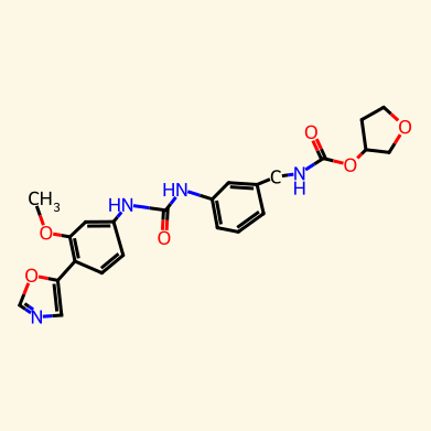 COc1cc(NC(=O)Nc2cccc(CNC(=O)OC3CCOC3)c2)ccc1-c1cnco1